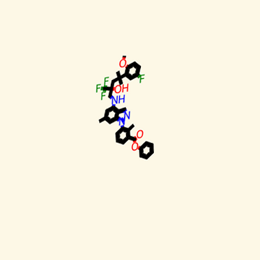 COc1ccc(F)cc1C(C)(C)CC(O)(CNc1cc(C)cc2c1cnn2-c1cccc(C(=O)Oc2ccccc2)c1C)C(F)(F)F